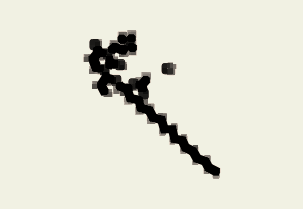 CCCCCCCCCCCCCCCCC(COC(CC)n1ccc(=O)n(CC[N+](C)(C)C)c1=O)OC(C)=O.[Cl-]